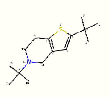 CC(C)(C)c1cc2c(s1)CCN(C(C)(C)C)C2